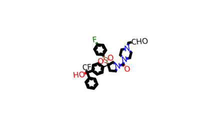 O=CCN1CCN(C(=O)N2CC[C@](c3ccc(C(O)(c4ccccc4)C(F)(F)F)cc3)(S(=O)(=O)c3ccc(F)cc3)C2)CC1